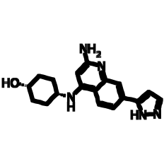 Nc1cc(N[C@H]2CC[C@@H](O)CC2)c2ccc(-c3ccn[nH]3)cc2n1